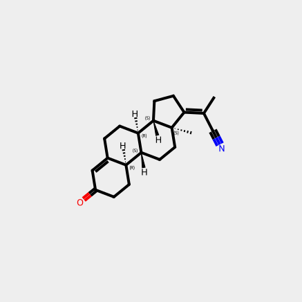 CC(C#N)=C1CC[C@H]2[C@@H]3CCC4=CC(=O)CC[C@@H]4[C@H]3CC[C@]12C